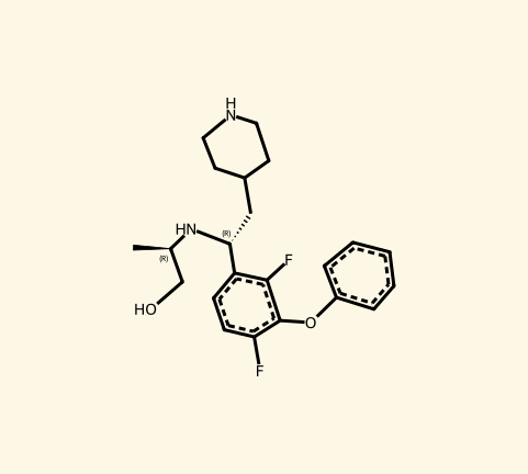 C[C@H](CO)N[C@H](CC1CCNCC1)c1ccc(F)c(Oc2ccccc2)c1F